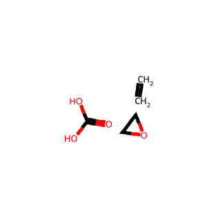 C1CO1.C=C.O=C(O)O